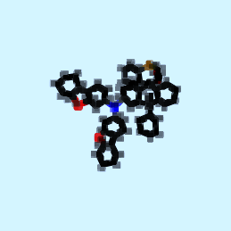 c1ccc([SiH]2c3ccccc3[Si]3(c4ccccc4Sc4ccccc43)c3ccc(N(c4ccc5c(c4)oc4ccccc45)c4ccc5c(c4)oc4ccccc45)cc32)cc1